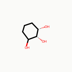 OC1CCC[C@H](O)[C@@H]1O